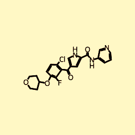 O=C(Nc1cccnc1)c1cc(C(=O)c2c(Cl)ccc(OC3CCOCC3)c2F)c[nH]1